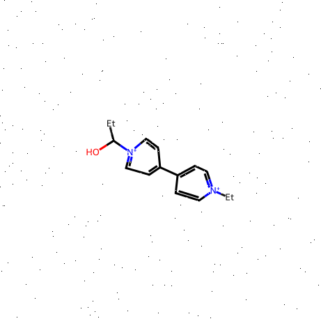 CCC(O)[n+]1ccc(-c2cc[n+](CC)cc2)cc1